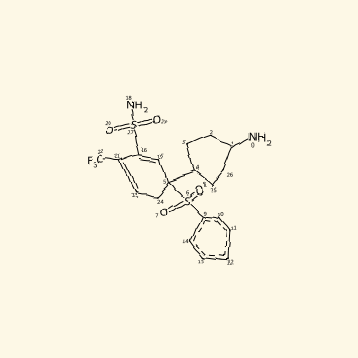 NC1CCC(C2(S(=O)(=O)c3ccccc3)C=C(S(N)(=O)=O)C(C(F)(F)F)=CC2)CC1